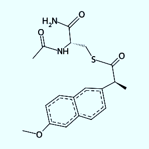 COc1ccc2cc([C@H](C)C(=O)SC[C@H](NC(C)=O)C(N)=O)ccc2c1